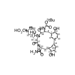 CC(C)(C)OC(=O)N[C@H]1Cc2cc(ccc2O)-c2ccc(O)c(c2)C[C@@H](C(N)=O)NC(=O)[C@H](CC(O)CN(C(=O)O)C(C)(C)C)NC1=O